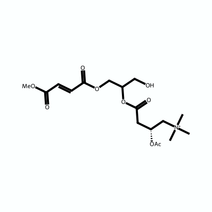 COC(=O)/C=C/C(=O)OCC(CO)OC(=O)C[C@H](C[N+](C)(C)C)OC(C)=O